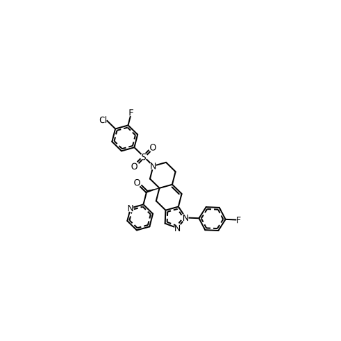 O=C(c1ccccn1)[C@]12Cc3cnn(-c4ccc(F)cc4)c3C=C1CCN(S(=O)(=O)c1ccc(Cl)c(F)c1)C2